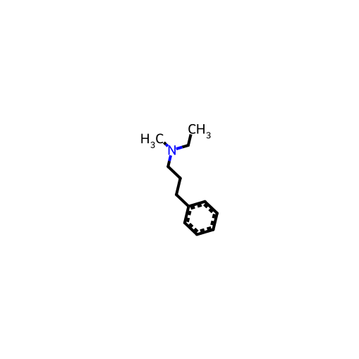 CCN(C)CCCc1ccccc1